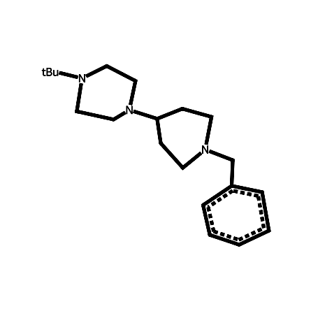 CC(C)(C)N1CCN(C2CCN(Cc3ccccc3)CC2)CC1